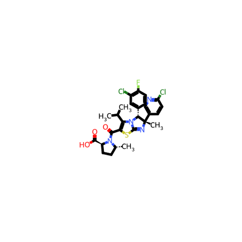 CC(C)C1=C(C(=O)N2[C@H](C)CC[C@H]2C(=O)O)SC2=N[C@@](C)(c3ccc(Cl)nc3)[C@@H](c3ccc(F)c(Cl)c3)N21